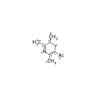 CC(=O)C1=C(C)N=C(C)[C@@H](C)C1